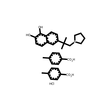 CC(C)(CN1CCCC1)c1ccc2c(O)c(O)ccc2c1.Cc1ccc(C(=O)O)cc1.Cc1ccc(C(=O)O)cc1.Cl